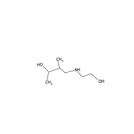 CC(O)C(C)CNCCO